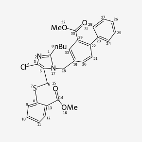 CCCCc1nc(Cl)c(CSc2ccccc2C(=O)OC)n1Cc1ccc(-c2ccccc2)c(C(=O)OC)c1